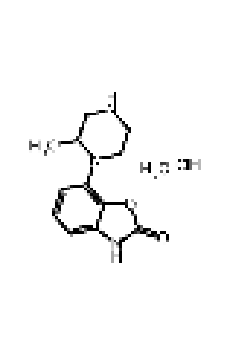 CC1CNCCN1c1cccc2[nH]c(=O)oc12.Cl.O